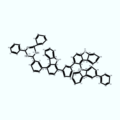 c1ccc(C2=NC(c3ccccc3)NC(c3cccc(-c4ccc(-c5cccc(-c6ccc7oc8ccccc8c7c6-n6c7ccccc7c7cc(-c8ccccc8)ccc76)c5)c5oc6ccccc6c45)c3)N2)cc1